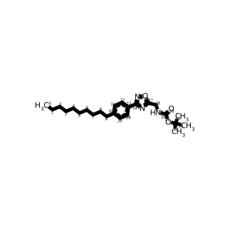 CCCCCCCCCCc1ccc(-c2noc(CNC(=O)OC(C)(C)C)n2)cc1